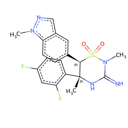 CN1C(=N)N[C@](C)(c2ccc(F)cc2F)[C@@H](c2ccc3c(cnn3C)c2)S1(=O)=O